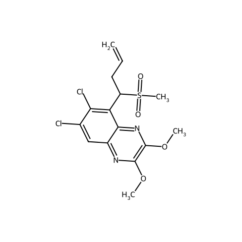 C=CCC(c1c(Cl)c(Cl)cc2nc(OC)c(OC)nc12)S(C)(=O)=O